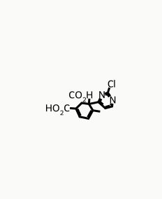 CC1=CC=C(C(=O)O)CC1(C(=O)O)c1ccnc(Cl)n1